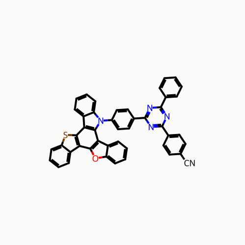 N#Cc1ccc(-c2nc(-c3ccccc3)nc(-c3ccc(-n4c5ccccc5c5c6sc7ccccc7c6c6oc7ccccc7c6c54)cc3)n2)cc1